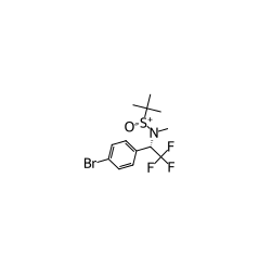 CN([C@@H](c1ccc(Br)cc1)C(F)(F)F)[S@+]([O-])C(C)(C)C